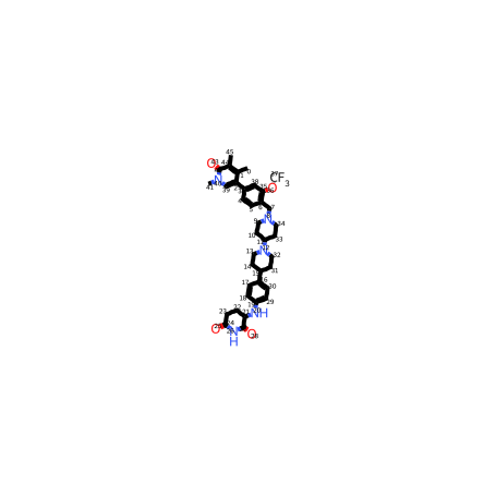 Cc1c(-c2ccc(CN3CCC(N4CCC(c5ccc(NC6CCC(=O)NC6=O)cc5)CC4)CC3)c(OC(F)(F)F)c2)cn(C)c(=O)c1C